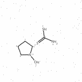 NC(=S)S.ON1CCCC1